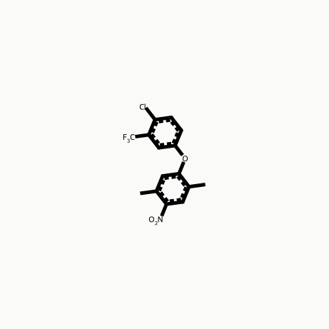 Cc1cc([N+](=O)[O-])c(C)cc1Oc1ccc(Cl)c(C(F)(F)F)c1